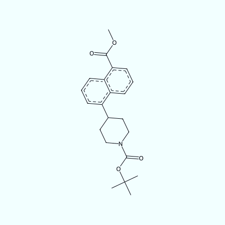 COC(=O)c1cccc2c(C3CCN(C(=O)OC(C)(C)C)CC3)cccc12